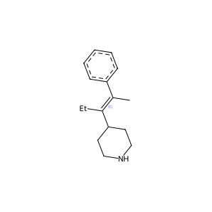 CC/C(=C(/C)c1ccccc1)C1CCNCC1